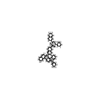 c1ccc(-c2nc(-c3ccc4ccccc4c3)nc(-c3ccc4cc(-n5c6ccc7ccccc7c6c6ccc7c(c8ccccc8n7-c7ccccc7)c65)ccc4c3)n2)cc1